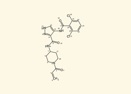 C=CC(=O)N1CCC(NC(=O)c2n[nH]cc2NC(=O)c2c(Cl)cccc2Cl)CC1